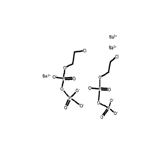 O=P([O-])([O-])OP(=O)([O-])OCCCl.O=P([O-])([O-])OP(=O)([O-])OCCCl.[Ba+2].[Ba+2].[Ba+2]